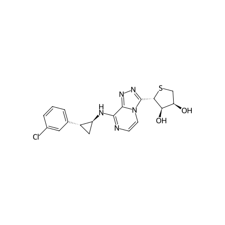 O[C@@H]1[C@H](O)CS[C@H]1c1nnc2c(N[C@H]3C[C@@H]3c3cccc(Cl)c3)nccn12